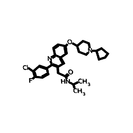 CC(C)NC(=O)Cc1cc2cc(OC3CCN(C4CCCC4)CC3)ccc2nc1-c1ccc(F)c(Cl)c1